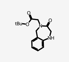 CC(C)(C)OC(=O)CN1Cc2ccccc2NCC1=O